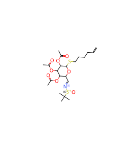 C=CCCCCSC1OC(/C=N/[S@+]([O-])C(C)(C)C)C(OC(C)=O)C(OC(C)=O)C1OC(C)=O